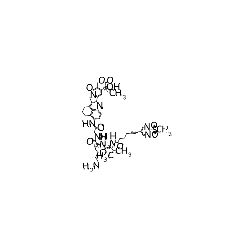 CC[C@@]1(O)C(=O)OCc2c1cc1n(c2=O)Cc2c-1nc1ccc(NC(=O)CNC(=O)[C@H](CCCCN)NC(=O)[C@@H](NC(=O)CCCC#Cc3cnc(S(C)(=O)=O)nc3)C(C)C)c3c1c2CCC3